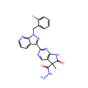 CC1(C(=O)NN)C(=O)Nc2nc(-c3nn(Cc4ccccc4F)c4ncccc34)ncc21